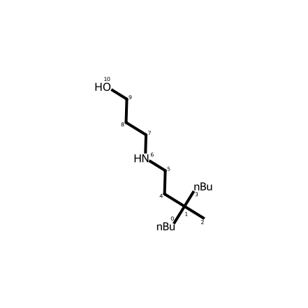 CCCCC(C)(CCCC)CCNCCCO